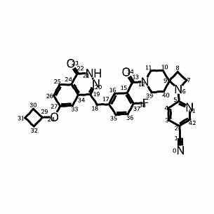 N#Cc1ccc(N2CCC23CCN(C(=O)c2cc(Cc4n[nH]c(=O)c5ccc(OC6CCC6)cc45)ccc2F)CC3)nc1